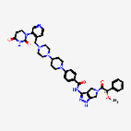 CO[C@@H](C(=O)N1Cc2[nH]nc(NC(=O)c3ccc(N4CCC(N5CCN(Cc6ccncc6N6CCC(=O)NC6=O)CC5)CC4)cc3)c2C1)c1ccccc1